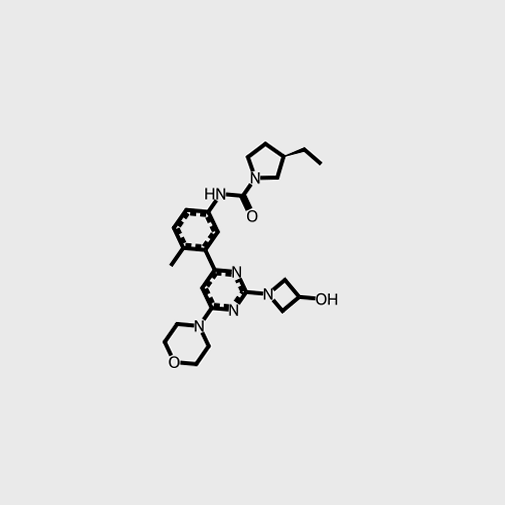 CC[C@@H]1CCN(C(=O)Nc2ccc(C)c(-c3cc(N4CCOCC4)nc(N4CC(O)C4)n3)c2)C1